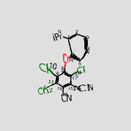 CC(C)c1ccccc1Oc1c(Cl)c(Cl)c(C#N)c(C#N)c1Cl